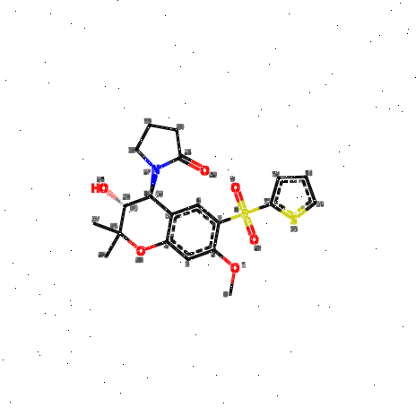 COc1cc2c(cc1S(=O)(=O)c1cccs1)[C@H](N1CCCC1=O)[C@@H](O)C(C)(C)O2